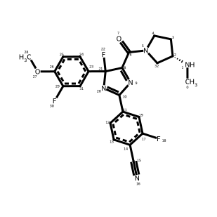 CN[C@H]1CCN(C(=O)C2=NC(c3ccc(C#N)c(F)c3)=NC2(F)c2ccc(OC)c(F)c2)C1